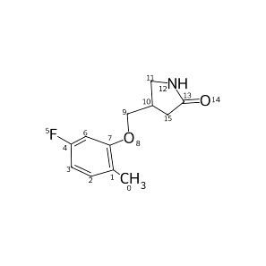 Cc1ccc(F)cc1OCC1CNC(=O)C1